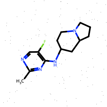 Cc1ncc(F)c(NC2CCN3CCCC3C2)n1